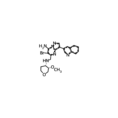 CO[C@@H]1COCC[C@@H]1NCc1nc2c(-c3cnc4ccccc4c3)cnn2c(N)c1Br